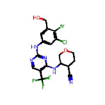 N#CC1CCOCC1Nc1nc(Nc2cc(Cl)c(Br)c(CO)c2)ncc1C(F)(F)F